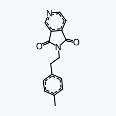 Cc1ccc(CCN2C(=O)c3ccncc3C2=O)cc1